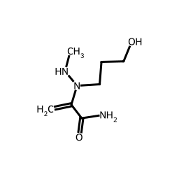 C=C(C(N)=O)N(CCCO)NC